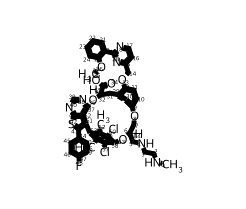 CNCCNC[C@@H]1COc2ccc(OCc3ccnc(-c4ccccc4OC)n3)c(c2)C[C@H](C(=O)O)Oc2ncnc3sc(-c4ccc(F)cc4)c(c23)-c2c(C)c(Cl)c(c(Cl)c2C)O1